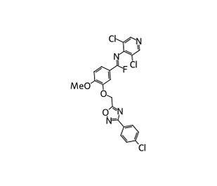 COc1ccc(/C(F)=N/c2c(Cl)cncc2Cl)cc1OCc1nc(-c2ccc(Cl)cc2)no1